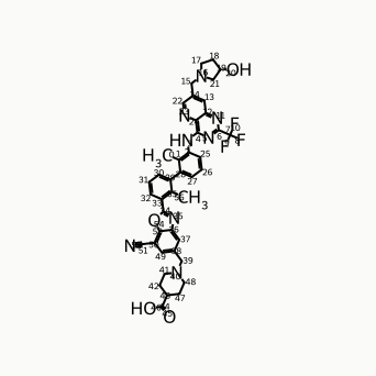 Cc1c(Nc2nc(C(F)(F)F)nc3cc(CN4CC[C@@H](O)C4)cnc23)cccc1-c1cccc(-c2nc3cc(CN4CCC(C(=O)O)CC4)cc(C#N)c3o2)c1C